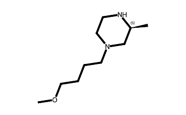 COCCCCN1CCN[C@@H](C)C1